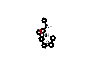 c1ccc(-c2ccc(-c3cccc4c3oc3c(-c5ccccc5)cccc34)cc2Nc2cccc(C3N[C@H]3c3ccccc3)c2)cc1